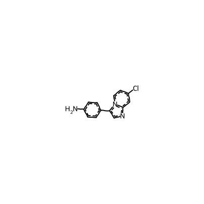 Nc1ccc(-c2cnc3cc(Cl)ccn23)cc1